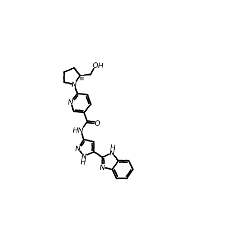 O=C(Nc1cc(-c2nc3ccccc3[nH]2)[nH]n1)c1ccc(N2CCC[C@H]2CO)nc1